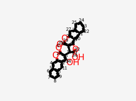 O=c1oc2cc3ccccc3cc2c(O)c1C1c2c(c3cc4ccccc4cc3oc2=O)OC1O